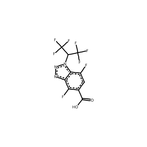 O=C(O)c1cc(F)c2c(nnn2C(C(F)(F)F)C(F)(F)F)c1F